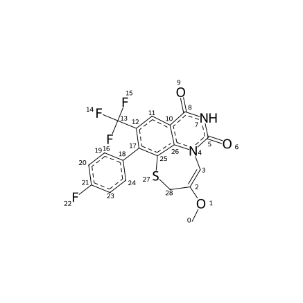 COC1=Cn2c(=O)[nH]c(=O)c3cc(C(F)(F)F)c(-c4ccc(F)cc4)c(c32)SC1